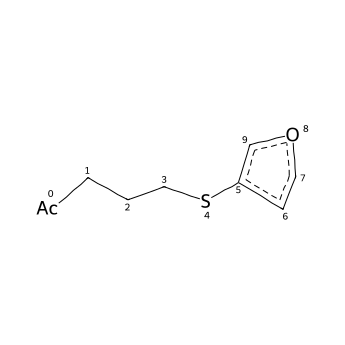 CC(=O)CCCSc1ccoc1